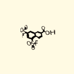 O=C(O)c1ccc2c(S(=O)(=O)F)cc(S(=O)(=O)F)cc2c1